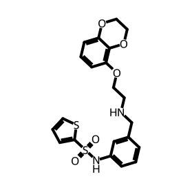 O=S(=O)(Nc1cccc(CNCCOc2cccc3c2OCCO3)c1)c1cccs1